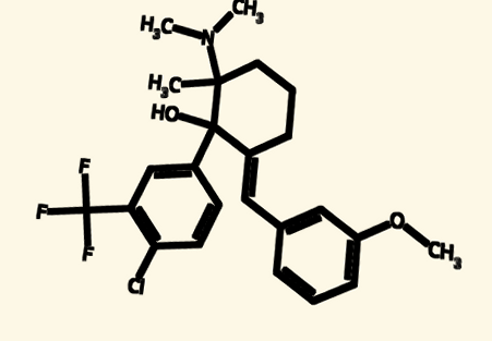 COc1cccc(C=C2CCCC(C)(N(C)C)C2(O)c2ccc(Cl)c(C(F)(F)F)c2)c1